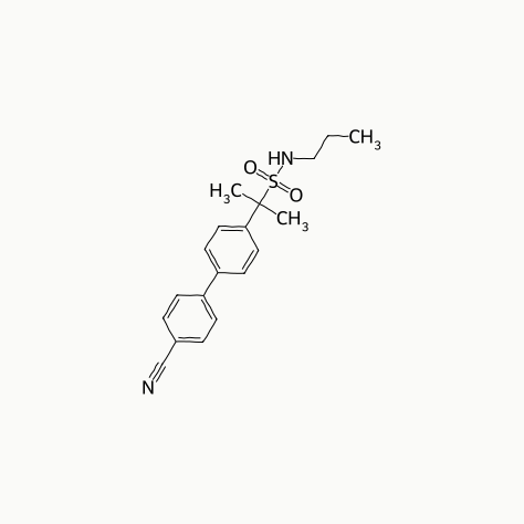 CCCNS(=O)(=O)C(C)(C)c1ccc(-c2ccc(C#N)cc2)cc1